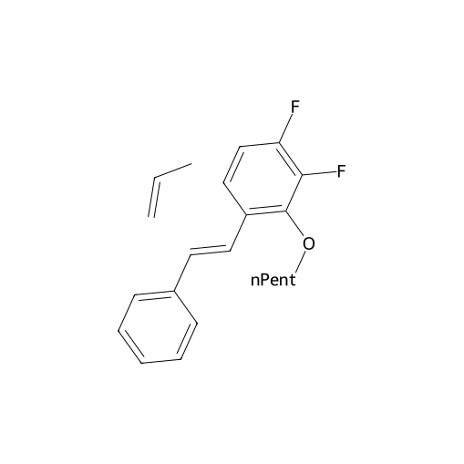 C=CC.CCCCCOc1c(C=Cc2ccccc2)ccc(F)c1F